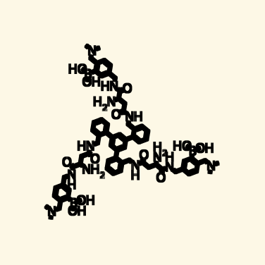 CN(C)Cc1ccc(CNC(=O)C(N)CC(=O)NCc2ccccc2-c2cc(-c3ccccc3CNC(=O)CC(N)C(=O)NCc3ccc(CN(C)C)c(B(O)O)c3)cc(-c3ccccc3CNC(=O)CC(N)C(=O)NCc3ccc(CN(C)C)c(B(O)O)c3)c2)cc1B(O)O